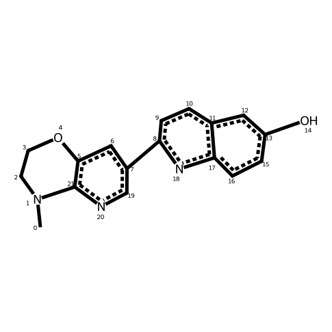 CN1CCOc2cc(-c3ccc4cc(O)ccc4n3)cnc21